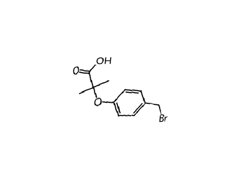 CC(C)(Oc1ccc(CBr)cc1)C(=O)O